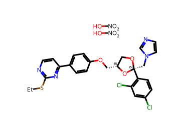 CCSc1nccc(-c2ccc(OC[C@@H]3CO[C@@](Cn4ccnc4)(c4ccc(Cl)cc4Cl)O3)cc2)n1.O=[N+]([O-])O.O=[N+]([O-])O